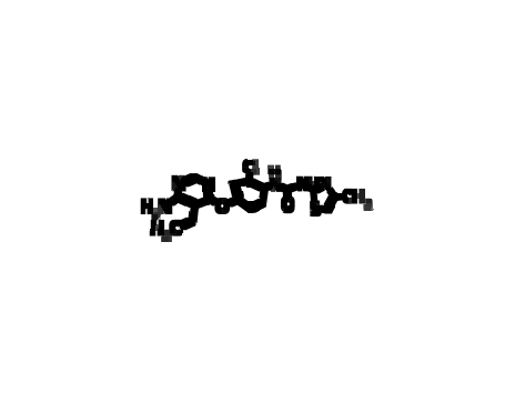 C=Cc1c(N)ncnc1Oc1ccc(NC(=O)Nc2nc(C)cs2)c(Cl)c1